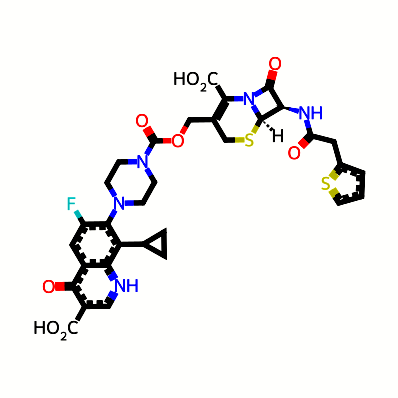 O=C(Cc1cccs1)N[C@@H]1C(=O)N2C(C(=O)O)=C(COC(=O)N3CCN(c4c(F)cc5c(=O)c(C(=O)O)c[nH]c5c4C4CC4)CC3)CS[C@H]12